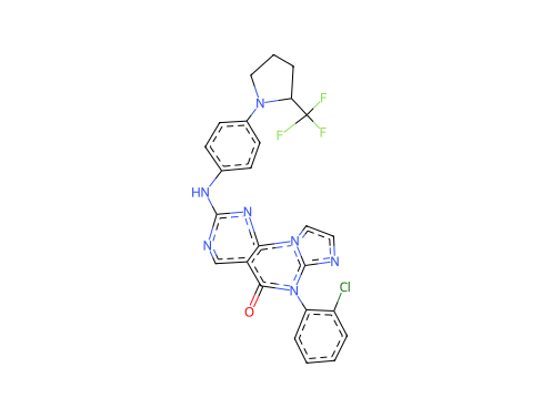 O=c1c2cnc(Nc3ccc(N4CCCC4C(F)(F)F)cc3)nc2n2ccnc2n1-c1ccccc1Cl